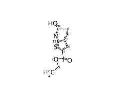 CCOC(=O)c1cc2ccc(O)nc2s1